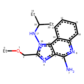 CCOCc1nc2c(N)nc3ccccc3c2n1NC(CC)CC